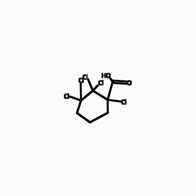 O=C(O)C1(Cl)CCCC(Cl)(Cl)C1(Cl)Cl